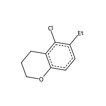 CCc1ccc2c(c1Cl)CCCO2